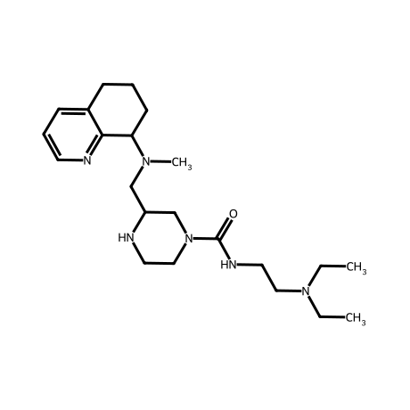 CCN(CC)CCNC(=O)N1CCNC(CN(C)C2CCCc3cccnc32)C1